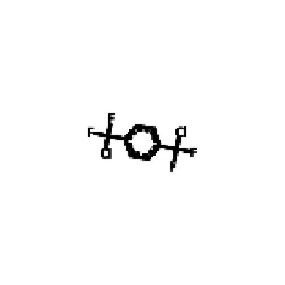 FC(F)(Cl)c1ccc(C(F)(F)Cl)cc1